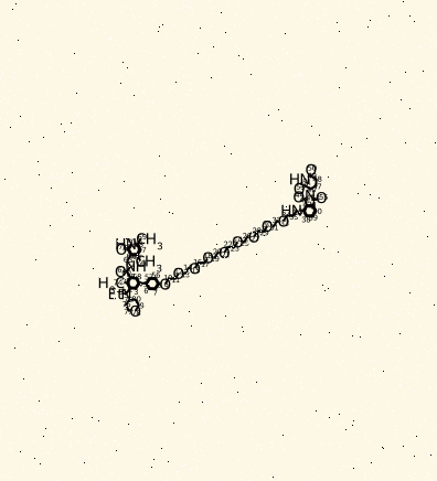 CCN(c1cc(-c2ccc(OCCOCCOCCOCCOCCOCCOCCOCCOCCNc3cccc4c3C(=O)N(C3CCC(=O)NC3=O)C4=O)cc2)cc(C(=O)NCc2c(C)cc(C)[nH]c2=O)c1C)C1CCOCC1